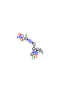 CC1(C)c2cc([C@H]3CCC[C@@H](N4CCN(c5cc(F)c(C6CCC(=O)NC6=O)c(F)c5)CC4)C3)ccc2-n2c1nc(=O)c1c(Cl)cccc12